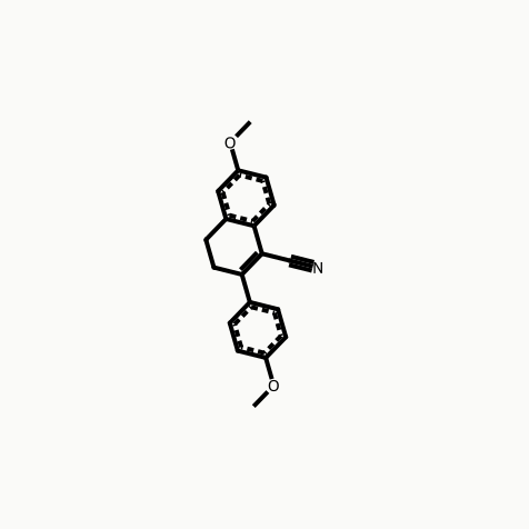 COc1ccc(C2=C(C#N)c3ccc(OC)cc3CC2)cc1